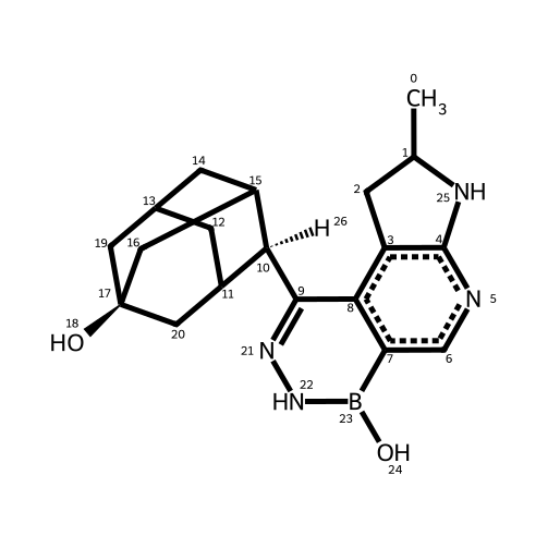 CC1Cc2c(ncc3c2C([C@H]2C4CC5CC2C[C@@](O)(C5)C4)=NNB3O)N1